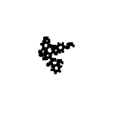 COc1ccc2nc(-c3c(NC(=O)c4ccccc4C)[nH]c(N=O)c3-c3ccc(C)cc3C)sc2c1